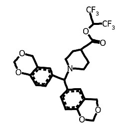 O=C(OC(C(F)(F)F)C(F)(F)F)C1CCN(C(c2ccc3c(c2)COCO3)c2ccc3c(c2)COCO3)CC1